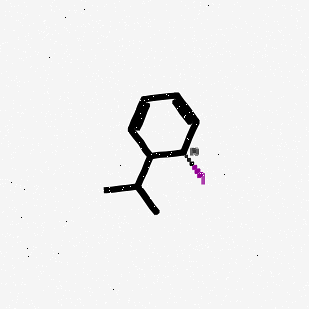 CC(C)C1C=CC=C[C@@H]1I